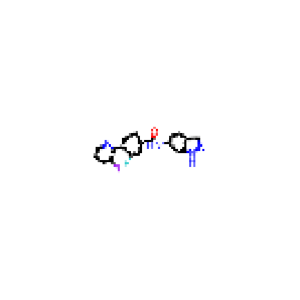 O=C(Nc1ccc2cn[nH]c2c1)c1ccc(-c2ncccc2I)c(F)c1